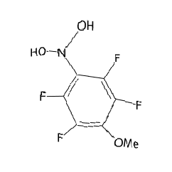 COc1c(F)c(F)c(N(O)O)c(F)c1F